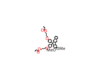 C=CC(=O)OCCCCOc1ccc(C2(c3ccc(OCCCCOC(=O)C=C)cc3)c3cc(OC)c(OC)cc3-c3cc4ccccc4cc32)cc1